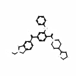 CCN1Cc2ccc(C(=O)c3ccc(C(=O)N4CCC(C5CCCN5)CC4)c(Nc4ccccc4)c3)cc2C1